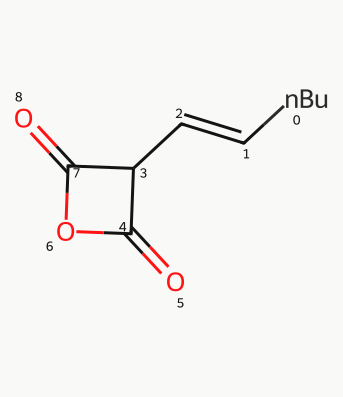 CCCC/C=C/C1C(=O)OC1=O